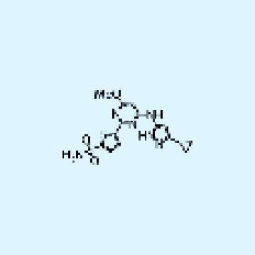 COc1cc(Nc2cc(C3CC3)n[nH]2)nc(-c2ccc(S(N)(=O)=O)s2)n1